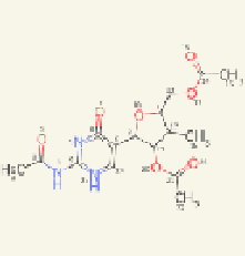 CC(=O)Nc1nc(=O)c(C2OC(COC(C)=O)C(C)C2OC(C)=O)c[nH]1